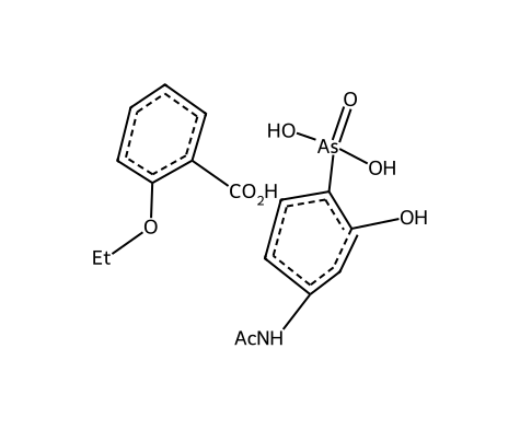 CC(=O)Nc1ccc([As](=O)(O)O)c(O)c1.CCOc1ccccc1C(=O)O